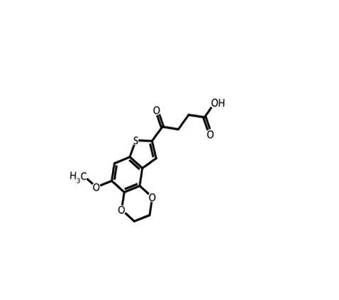 COc1cc2sc(C(=O)CCC(=O)O)cc2c2c1OCCO2